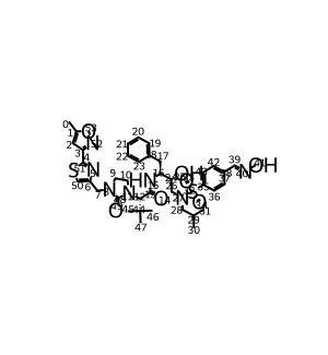 Cc1cc(-c2nc(CN3CCN([C@H](C(=O)N[C@@H](Cc4ccccc4)[C@H](O)CN(CC(C)C)S(=O)(=O)c4ccc(C=NO)cc4)C(C)(C)C)C3=O)cs2)no1